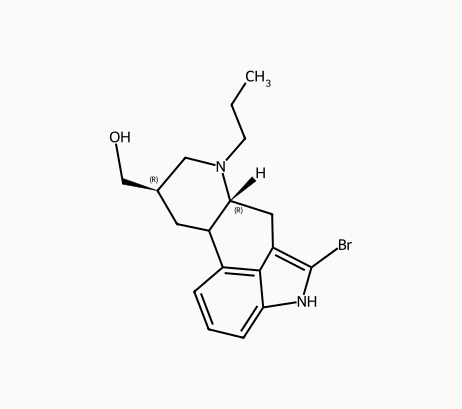 CCCN1C[C@H](CO)CC2c3cccc4[nH]c(Br)c(c34)C[C@H]21